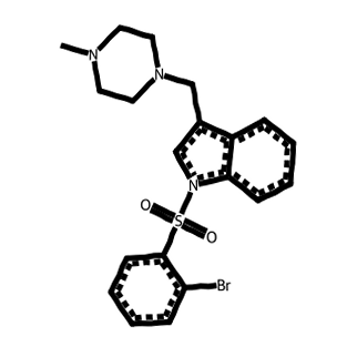 CN1CCN(Cc2cn(S(=O)(=O)c3ccccc3Br)c3ccccc23)CC1